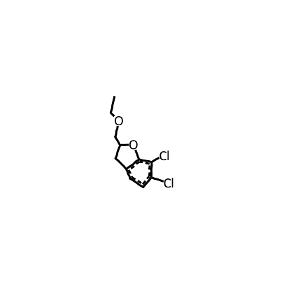 CCOCC1Cc2ccc(Cl)c(Cl)c2O1